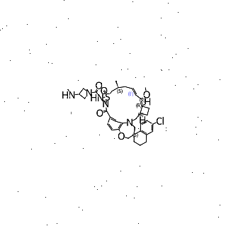 CNC1CN(C(=O)NS2(=O)=NC(=O)c3ccc4c(c3)N(C[C@@H]3CC[C@H]3[C@@H](OC)/C=C/C[C@H](C)C2)C[C@@]2(CCCc3cc(Cl)ccc32)CO4)C1